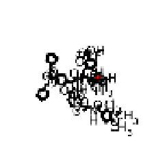 COc1ccc(C(=O)NCCS(=O)(=O)N2CCN(C(=O)NC(C(=O)NC(Cc3ccc(F)c(C(=O)O)c3OC)B3O[C@@H]4C[C@@H]5C[C@@H](C5(C)C)[C@]4(C)O3)c3ccc(P(=O)(OCc4ccccc4)OCc4ccccc4)cc3)C2=O)c(Cl)c1OC